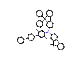 Cc1cc(N(c2ccc3c(c2)C(C)(C)c2ccccc2-3)c2ccc3c(c2)C(c2ccccc2)(c2ccccc2)c2ccccc2-3)c(C)cc1-c1ccc(-c2ccccc2)cc1